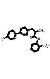 CC(Cc1ccc(-c2ccc(N)cn2)cc1)C(=O)Nc1ccccc1C(=O)O